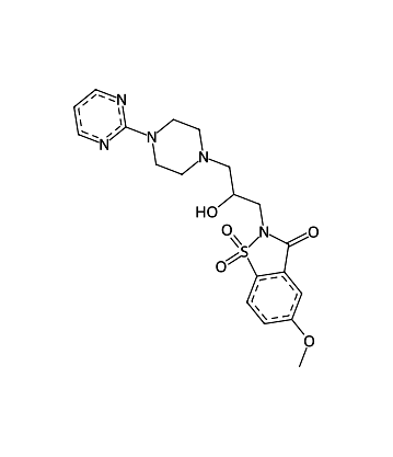 COc1ccc2c(c1)C(=O)N(CC(O)CN1CCN(c3ncccn3)CC1)S2(=O)=O